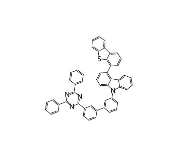 c1ccc(-c2nc(-c3ccccc3)nc(-c3cccc(-c4cccc(-n5c6ccccc6c6c(-c7cccc8c7sc7ccccc78)cccc65)c4)c3)n2)cc1